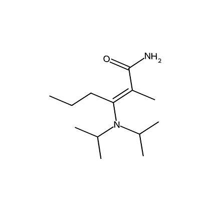 CCC/C(=C(/C)C(N)=O)N(C(C)C)C(C)C